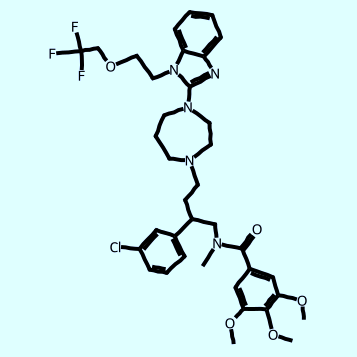 COc1cc(C(=O)N(C)CC(CCN2CCCN(c3nc4ccccc4n3CCOCC(F)(F)F)CC2)c2cccc(Cl)c2)cc(OC)c1OC